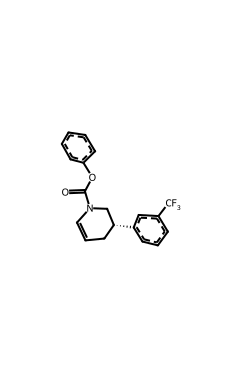 O=C(Oc1ccccc1)N1C=CC[C@@H](c2cccc(C(F)(F)F)c2)C1